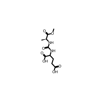 COC(=O)[C@H](C)NC(=O)NC(CCC(=O)O)C(=O)O